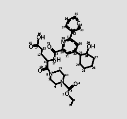 CCOC(=O)N1CCN(C(=O)C(CCC(=O)O)NC(=O)c2cc(C3CCCCC3O)cc(-c3ccccc3)n2)CC1